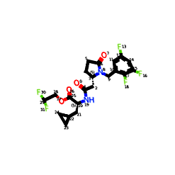 O=C(C[C@@H]1CCC(=O)N1Cc1cc(F)cc(F)c1F)N[C@@H](CC1CC1)C(=O)OCC(F)F